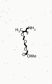 COC(=O)COCCOCCOC(C)C(F)CN